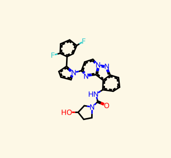 O=C(Nc1cccc2nn3ccc(-n4cccc4-c4cc(F)ccc4F)nc3c12)N1CCC(O)C1